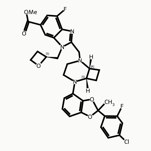 COC(=O)c1cc(F)c2nc(CN3CCN(c4cccc5c4OC(C)(c4ccc(Cl)cc4F)O5)[C@H]4CC[C@H]43)n(C[C@@H]3CCO3)c2c1